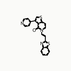 O=c1c2c(-c3ccncc3)csc2ccn1C=Cc1nc2ccccc2s1